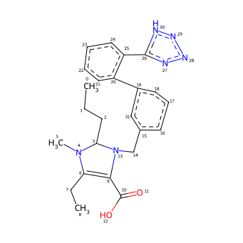 CCCC1N(C)C(CC)=C(C(=O)O)N1Cc1cccc(-c2ccccc2-c2nnn[nH]2)c1